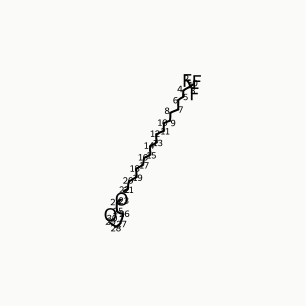 FC(F)(F)CCCCCCCCCCCCCCCCCCCOCC1CCCCO1